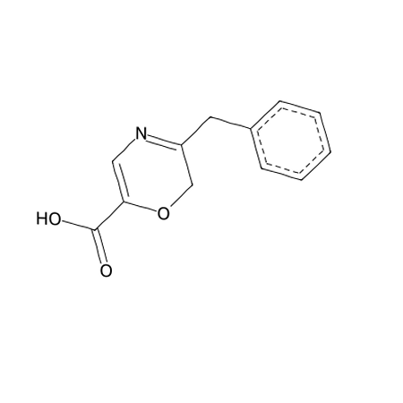 O=C(O)C1=CN=C(Cc2ccccc2)CO1